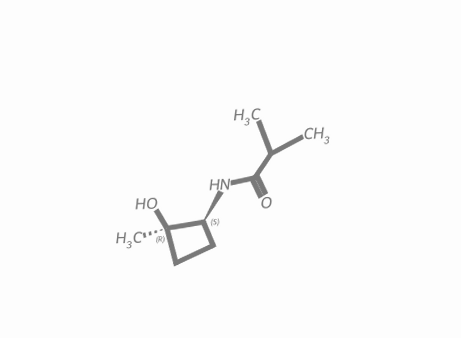 CC(C)C(=O)N[C@H]1CC[C@@]1(C)O